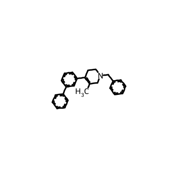 CC1=C(c2cccc(-c3ccccc3)c2)CCN(Cc2ccccc2)C1